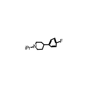 CC(C)N1CCC(c2ccc(F)cc2)CC1